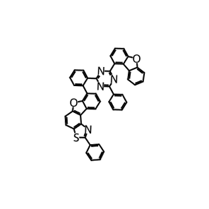 c1ccc(-c2nc(-c3ccccc3-c3cccc4c3oc3ccc5sc(-c6ccccc6)nc5c34)nc(-c3cccc4oc5ccccc5c34)n2)cc1